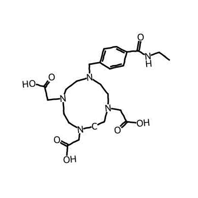 CCNC(=O)c1ccc(CN2CCN(CC(=O)O)CCN(CC(=O)O)CCN(CC(=O)O)CC2)cc1